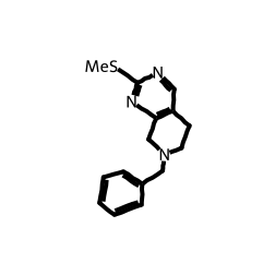 CSc1ncc2c(n1)CN(Cc1ccccc1)CC2